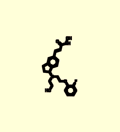 O=C(C=Cc1ccc2c(c1)CCC2N(CCO)CCOc1ccccc1F)NO